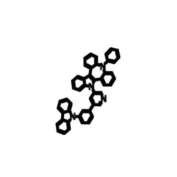 c1ccc(N2c3ccccc3-c3c(n(-c4cncc(-c5cccc(-n6c7ccccc7c7ccccc76)c5)c4)c4ccccc34)-c3ccccc32)cc1